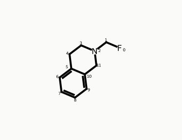 FCN1CCc2ccccc2C1